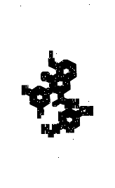 C[C@H](Nc1nc(N)ncc1C#N)c1cc2cccc(CI)c2c(=O)n1-c1cc(F)cc(F)c1